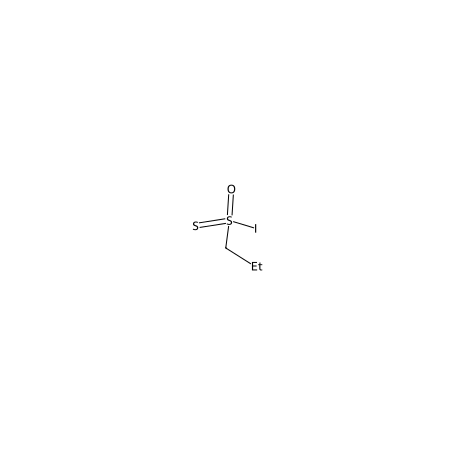 CCCS(=O)(=S)I